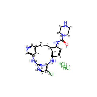 Cl.Cl.Cl.O=C(Nc1ccc2cc1CCc1cncc(c1)Nc1ncc(Cl)c(n1)N2)N1CCNCC1